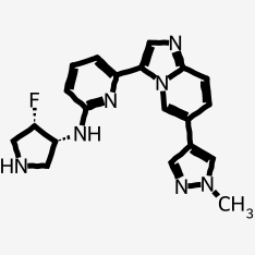 Cn1cc(-c2ccc3ncc(-c4cccc(N[C@@H]5CNC[C@@H]5F)n4)n3c2)cn1